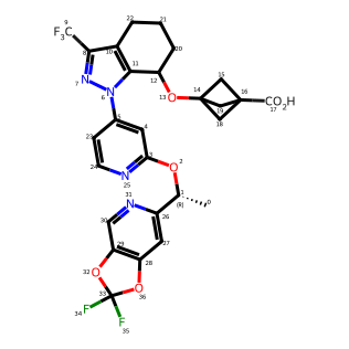 C[C@@H](Oc1cc(-n2nc(C(F)(F)F)c3c2C(OC24CC(C(=O)O)(C2)C4)CCC3)ccn1)c1cc2c(cn1)OC(F)(F)O2